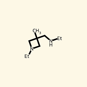 CCNCC1(C)CN(CC)C1